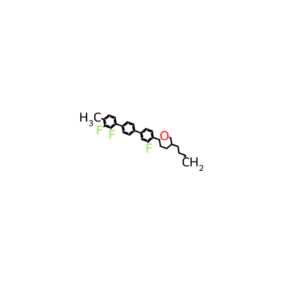 C=CCCC1CCC(c2ccc(-c3ccc(-c4ccc(C)c(F)c4F)cc3)cc2F)OC1